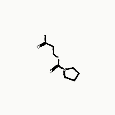 CC(=O)CCSC(=S)N1CCCC1